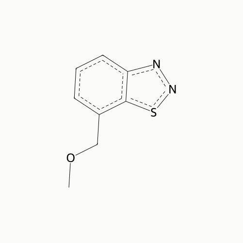 COCc1cccc2nnsc12